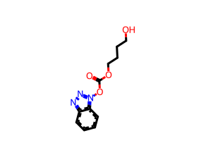 O=C(OCCCCO)On1nnc2ccccc21